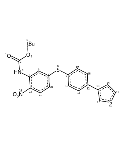 CC(C)(C)OC(=O)Nc1cc(Sc2ccc(-c3ccsc3)cc2)ccc1[N+](=O)[O-]